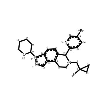 FC1(CN2CCc3c(ccc4c3cnn4C3CCCCO3)C2c2ccc(Br)cn2)CC1